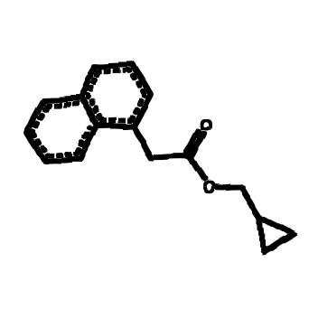 O=C(Cc1cccc2ccccc12)OCC1CC1